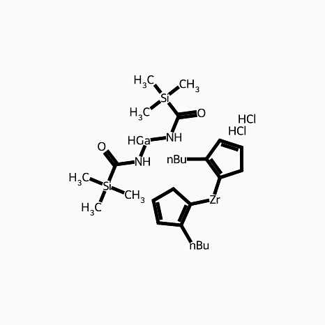 CCCCC1=[C]([Zr][C]2=C(CCCC)C=CC2)CC=C1.C[Si](C)(C)C(=O)[NH][GaH][NH]C(=O)[Si](C)(C)C.Cl.Cl